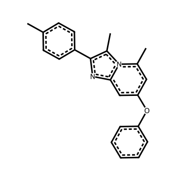 Cc1ccc(-c2nc3cc(Oc4ccccc4)cc(C)n3c2C)cc1